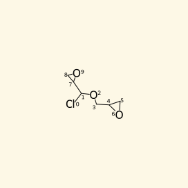 ClC(OCC1CO1)C1CO1